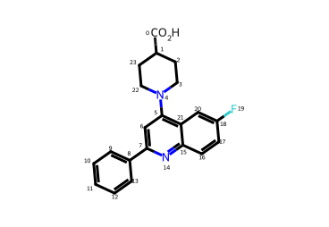 O=C(O)C1CCN(c2cc(-c3ccccc3)nc3ccc(F)cc23)CC1